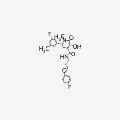 Cc1cc(F)cc(-c2cc(C(=O)NCCCOc3ccc(F)cc3)c(O)c(=O)n2C)c1